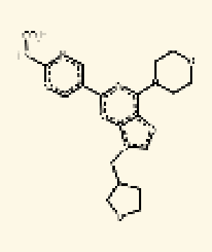 O=C(O)Nc1ncc(-c2nc(N3CCOCC3)c3ncn(CC4CCOC4)c3n2)cn1